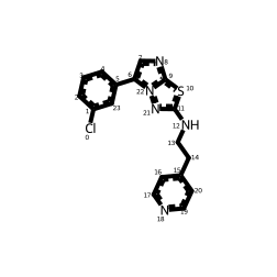 Clc1cccc(-c2cnc3sc(NCCc4ccncc4)nn23)c1